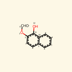 O=[C]Oc1ccc2ccccc2c1O